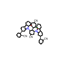 N#Cc1ccc(-c2c(-n3c4ccccc4c4ccc(-c5ccccc5C#N)cc43)cc(C#N)cc2-n2c3ccccc3c3ccc(-c4ccccc4C#N)cc32)c(F)c1